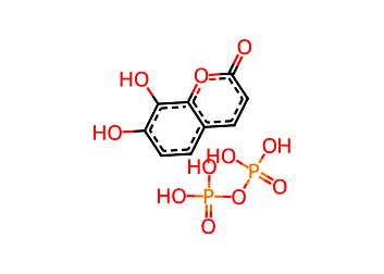 O=P(O)(O)OP(=O)(O)O.O=c1ccc2ccc(O)c(O)c2o1